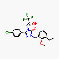 C[CH]c1cccc(Cn2nc(-c3ccc(Cl)cc3)n(C[C@H](O)C(F)(F)F)c2=O)c1OC